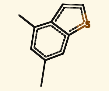 Cc1cc(C)c2ccsc2c1